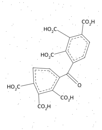 O=C(O)c1ccc(C(=O)c2ccc(C(=O)O)c(C(=O)O)c2C(=O)O)c(C(=O)O)c1C(=O)O